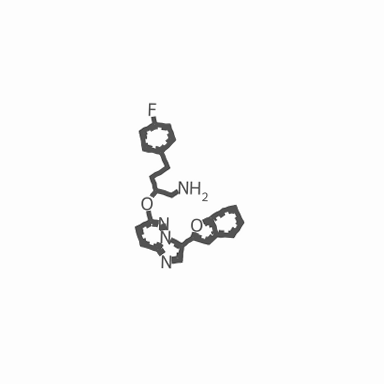 NCC(CCc1ccc(F)cc1)Oc1ccc2ncc(-c3cc4ccccc4o3)n2n1